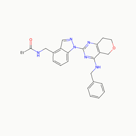 CCC(=O)NCc1cccc2c1cnn2-c1nc2c(c(NCc3ccccc3)n1)COCC2